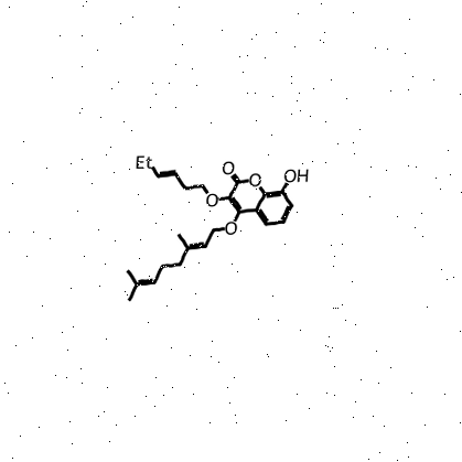 CC/C=C/CCOc1c(OC/C=C(\C)CCC=C(C)C)c2cccc(O)c2oc1=O